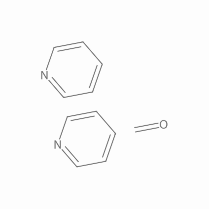 C=O.c1ccncc1.c1ccncc1